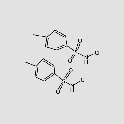 Cc1ccc(S(=O)(=O)NCl)cc1.Cc1ccc(S(=O)(=O)NCl)cc1